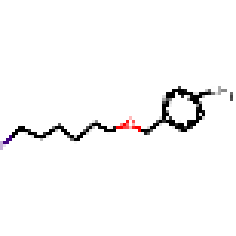 Cc1ccc(COCCCCCCI)cc1